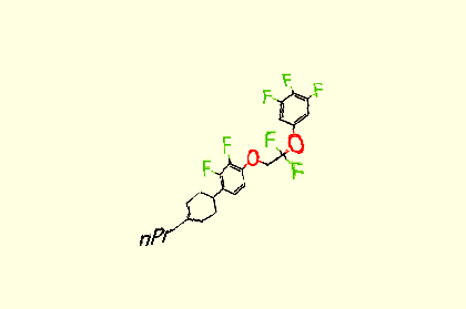 CCCC1CCC(c2ccc(OCC(F)(F)Oc3cc(F)c(F)c(F)c3)c(F)c2F)CC1